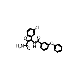 NC(=O)c1oc2ccc(Cl)cc2c1NC(=O)c1cccc(Oc2ccccc2)c1